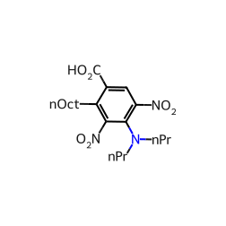 CCCCCCCCc1c(C(=O)O)cc([N+](=O)[O-])c(N(CCC)CCC)c1[N+](=O)[O-]